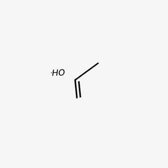 C=CC.[OH]